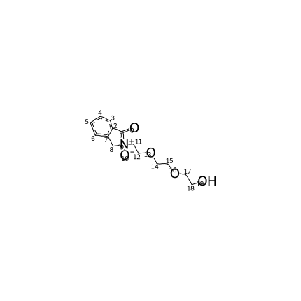 O=C1c2ccccc2C[N+]1([O-])CCOCCOCCO